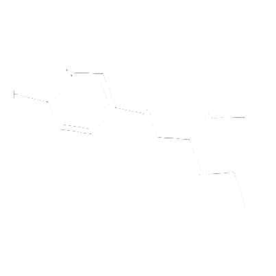 CCOC(COc1ccc(F)nc1)OCC